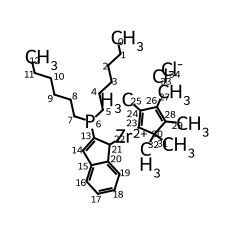 CCCCCCP(CCCCCC)C1=Cc2ccccc2[CH]1[Zr+2][C]1=C(C)C(C)=C(C)C1(C)C.[Cl-].[Cl-]